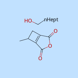 CC1CC2=C1C(=O)OC2=O.CCCCCCCCO